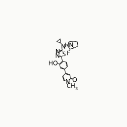 Cn1ccc(-c2ccc(-c3nnc(N(C4CC4)[C@H]4CC5CCC(N5)[C@H]4F)s3)c(O)c2)cc1=O